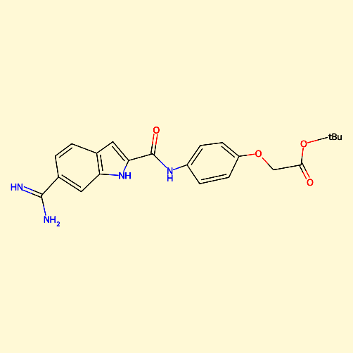 CC(C)(C)OC(=O)COc1ccc(NC(=O)c2cc3ccc(C(=N)N)cc3[nH]2)cc1